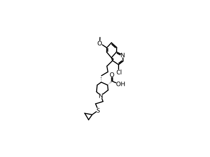 COc1ccc2ncc(Cl)c(CCC[C@H]3CCN(CCSC4CC4)C[C@H]3C(=O)O)c2c1